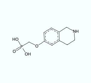 O=P(O)(O)COc1ccc2c(c1)CCNC2